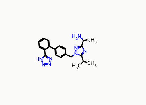 CC(C)c1nc(C(C)N)nn1Cc1ccc(-c2ccccc2-c2nnn[nH]2)cc1